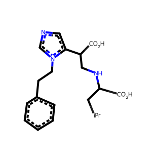 CC(C)CC(NCC(C(=O)O)c1cncn1CCc1ccccc1)C(=O)O